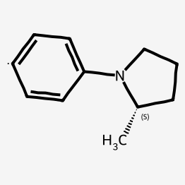 C[C@H]1CCCN1c1cc[c]cc1